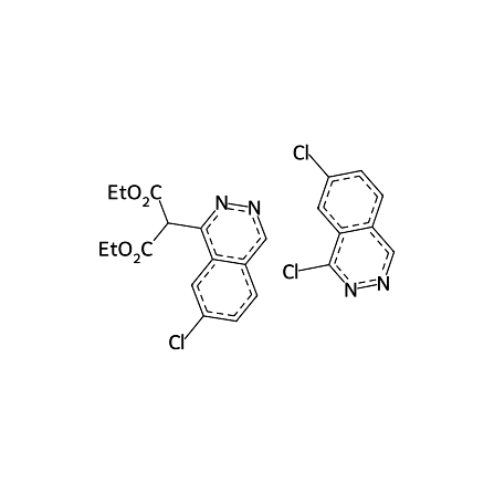 CCOC(=O)C(C(=O)OCC)c1nncc2ccc(Cl)cc12.Clc1ccc2cnnc(Cl)c2c1